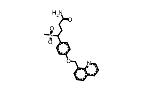 CS(=O)(=O)C(CCC(N)=O)c1ccc(OCc2cccc3cccnc23)cc1